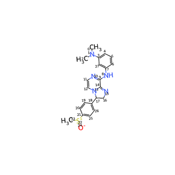 CN(C)c1cccc(NC2=NC=CN3C2=NCC3c2ccc([S+](C)[O-])cc2)c1